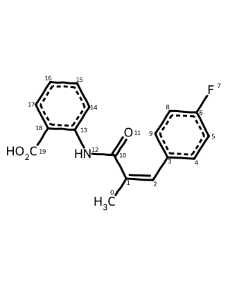 CC(=Cc1ccc(F)cc1)C(=O)Nc1ccccc1C(=O)O